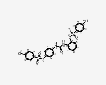 O=C(Nc1ccc(OS(=O)(=O)c2ccc(Cl)cc2)cc1)Nc1ccccc1OS(=O)(=O)c1ccc(Cl)cc1